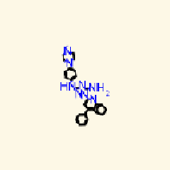 CN1CCN(c2ccc(Nc3nc(N)n(-c4cc(-c5ccccc5)c5c(n4)C4CCC5C4)n3)cc2)CC1